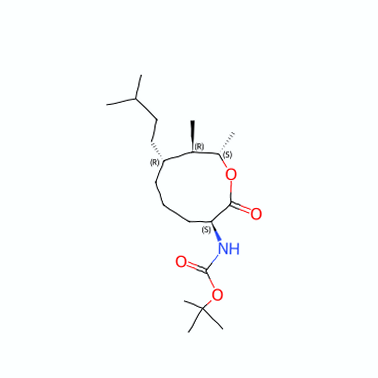 CC(C)CC[C@H]1CCC[C@H](NC(=O)OC(C)(C)C)C(=O)O[C@@H](C)[C@@H]1C